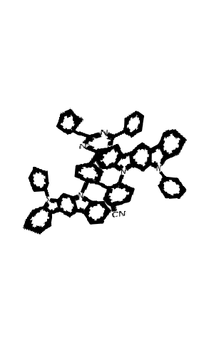 N#Cc1ccc(-n2c3ccccc3c3cc4c5ccccc5n(-c5ccccc5)c4cc32)c(-c2cc(-c3nc(-c4ccccc4)nc(-c4ccccc4)n3)ccc2-n2c3ccccc3c3cc4c5ccccc5n(-c5ccccc5)c4cc32)c1